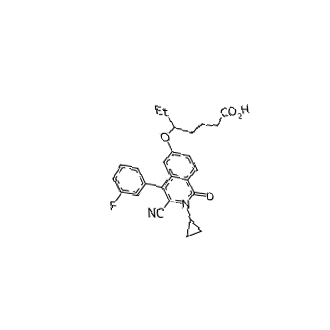 CCC(CCCC(=O)O)Oc1ccc2c(=O)n(C3CC3)c(C#N)c(-c3cccc(F)c3)c2c1